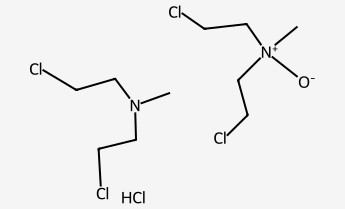 CN(CCCl)CCCl.C[N+]([O-])(CCCl)CCCl.Cl